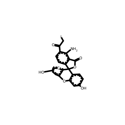 Nc1c(C(=O)CI)ccc2c1C(=O)OC21c2ccc(O)cc2Oc2cc(O)ccc21